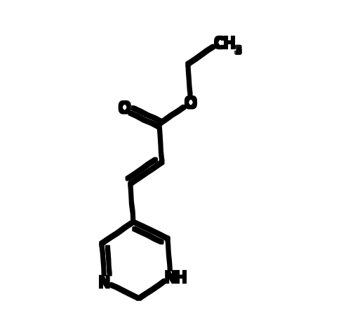 CCOC(=O)/C=C/C1=CNCN=C1